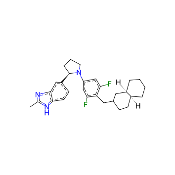 Cc1nc2cc([C@H]3CCCN3c3cc(F)c(CC4CC[C@@H]5CCCC[C@@H]5C4)c(F)c3)ccc2[nH]1